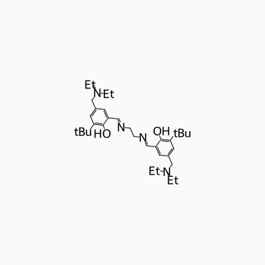 CCN(CC)Cc1cc(C=NCCN=Cc2cc(CN(CC)CC)cc(C(C)(C)C)c2O)c(O)c(C(C)(C)C)c1